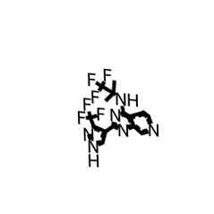 CC(C)(Nc1nc(-c2c[nH]nc2C(F)(F)F)nc2cnccc12)C(F)(F)F